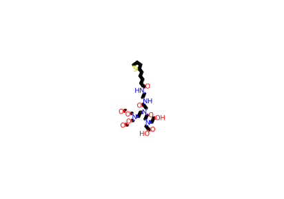 O=COCN(CCN(CCN(CC(=O)O)CC(=O)O)CC(=O)NCCNC(=O)CCCCC1CCCS1)COC=O